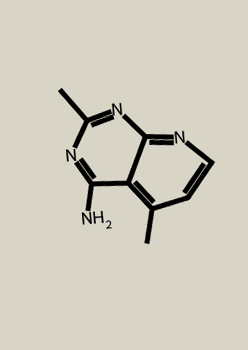 Cc1nc(N)c2c(C)ccnc2n1